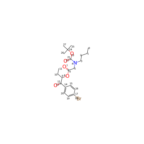 CCCCN(CC(=O)OC(CC)C(=O)c1ccc(Br)cc1)C(=O)OC(C)(C)C